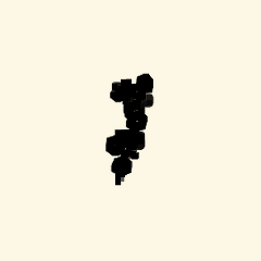 CN(Cc1ccc(F)cc1)C(=O)[C@@H](NC(=O)c1ccc2nc(NC(=O)c3ccccc3-c3cn4ccsc4n3)ccc2c1)c1ccccc1